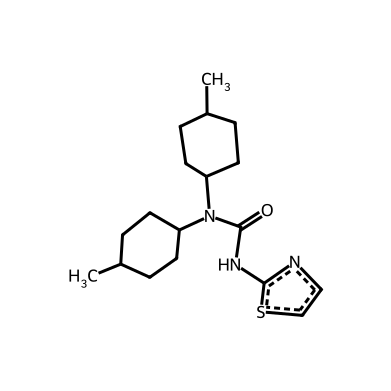 CC1CCC(N(C(=O)Nc2nccs2)C2CCC(C)CC2)CC1